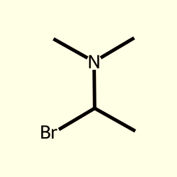 CC(Br)N(C)C